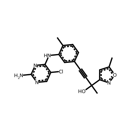 Cc1cc(C(C)(O)C#Cc2ccc(C)c(Nc3nc(N)ncc3Cl)c2)no1